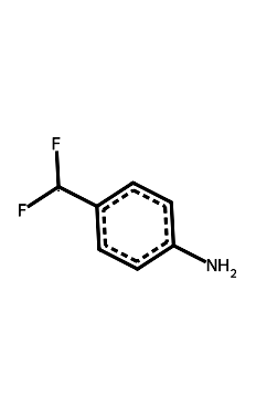 Nc1ccc([C](F)F)cc1